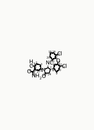 Cc1ccc(N2C[C@@H](c3ccc(Cl)c(Oc4c(Cl)cccc4C#N)c3)CC2=O)cc1C(N)=O